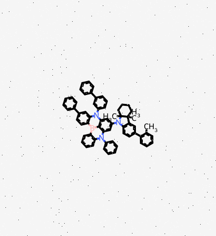 Cc1ccccc1-c1ccc2c(c1)C1(C)CCCCC1(C)N2c1cc2c3c(c1)N(c1cccc(-c4ccccc4)c1)c1cc(-c4ccccc4)ccc1B3c1ccccc1N2c1ccccc1